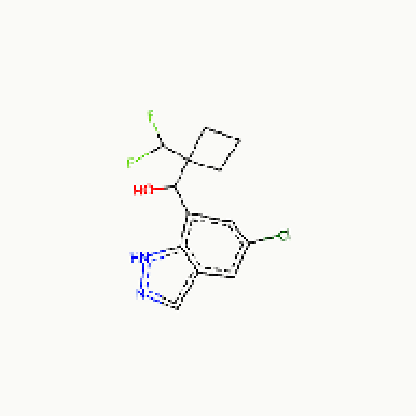 OC(c1cc(Cl)cc2cn[nH]c12)C1(C(F)F)CCC1